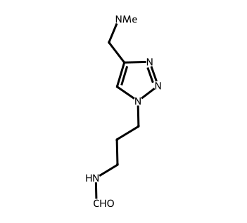 CNCc1cn(CCCNC=O)nn1